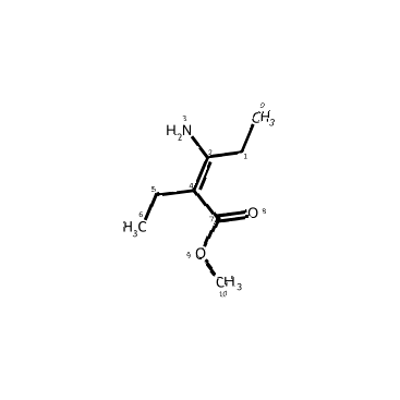 CCC(N)=C(CC)C(=O)OC